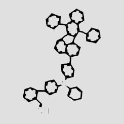 N=Cc1ccccc1-c1ccc(N(C2=CCCC=C2)c2ccc(-c3ccc4c5c(cccc35)-c3c-4c(-c4ccccc4)c4ccccc4c3-c3ccccc3)cc2)cc1